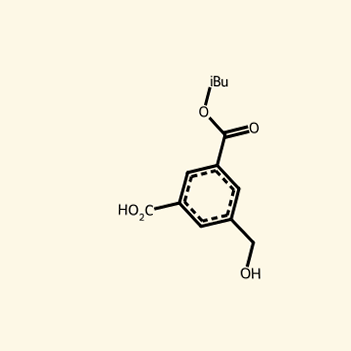 CCC(C)OC(=O)c1cc(CO)cc(C(=O)O)c1